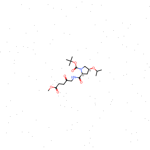 COC(=O)CCC(=O)CNC(=O)[C@@H]1C[C@H](OC(C)C)CN1C(=O)OC(C)(C)C